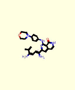 C=C(C)/C(N)=C\C=C(/N)c1cc2cc[nH]c(=O)c2c(Nc2ccc(N3CCOCC3)cc2)n1